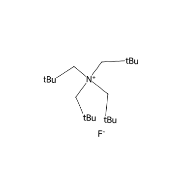 CC(C)(C)C[N+](CC(C)(C)C)(CC(C)(C)C)CC(C)(C)C.[F-]